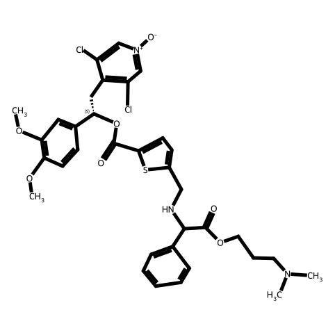 COc1ccc([C@H](Cc2c(Cl)c[n+]([O-])cc2Cl)OC(=O)c2ccc(CNC(C(=O)OCCCN(C)C)c3ccccc3)s2)cc1OC